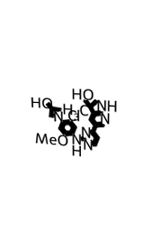 COc1cc(N2CC(O)C2)c(Cl)cc1Nc1nccc(-c2cnc3c(c2)C(C)(CO)CN3)n1